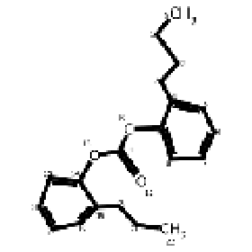 CCCCc1ccccc1OC(=O)Oc1ccccc1CCC